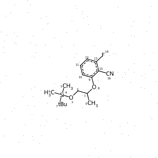 CC(CO[Si](C)(C)C(C)(C)C)Oc1cccc(F)c1C#N